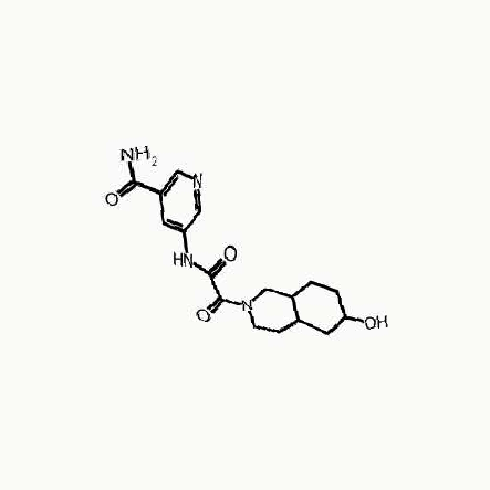 NC(=O)c1cncc(NC(=O)C(=O)N2CCC3CC(O)CCC3C2)c1